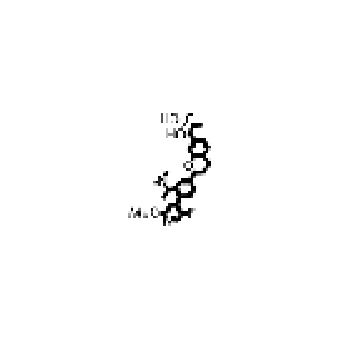 COc1cc(-c2ccc(C3CCc4ccc([C@H](O)[C@H](C)C(=O)O)cc4O3)cc2C(C)N(C)C)c(F)cn1